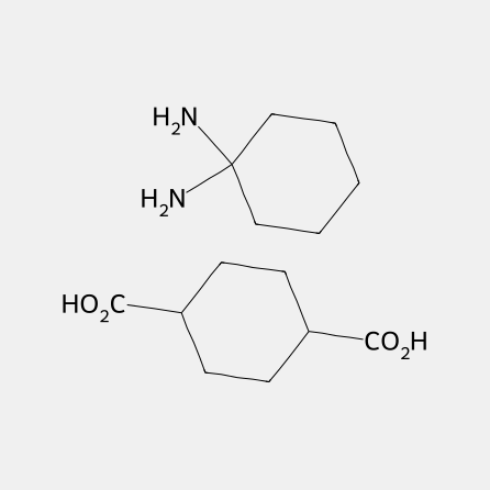 NC1(N)CCCCC1.O=C(O)C1CCC(C(=O)O)CC1